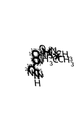 CC(C)(C)c1ncc(C(=O)N[C@H]2CCCc3cc(-c4ccnc5[nH]ncc45)cnc32)s1